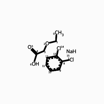 CCOCC(=O)O.Clc1ccccc1Cl.[NaH]